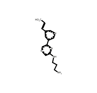 NCCCNc1cncc(-c2cncc(C=CC(=O)O)c2)n1